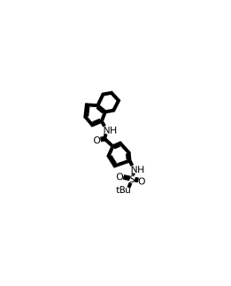 CC(C)(C)S(=O)(=O)Nc1ccc(C(=O)Nc2cccc3c2CCCC3)cc1